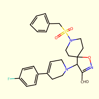 O=CC1=NOC2(CCN(S(=O)(=O)Cc3ccccc3)CC2)C1N1CC=C(c2ccc(F)cc2)CC1